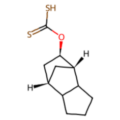 S=C(S)O[C@@H]1C[C@@H]2C[C@H]1C1CCCC12